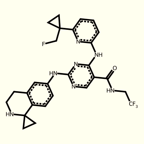 O=C(NCC(F)(F)F)c1cnc(Nc2ccc3c(c2)CCNC32CC2)nc1Nc1cccc(C2(CF)CC2)n1